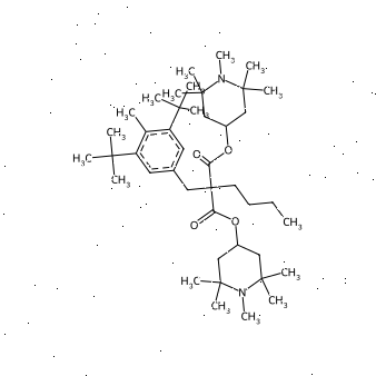 CCCCC(Cc1cc(C(C)(C)C)c(C)c(C(C)(C)C)c1)(C(=O)OC1CC(C)(C)N(C)C(C)(C)C1)C(=O)OC1CC(C)(C)N(C)C(C)(C)C1